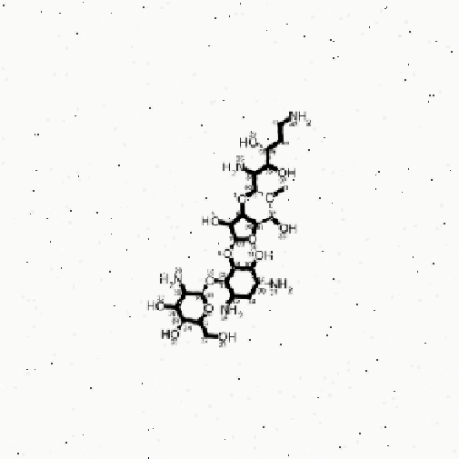 CO[C@H](OC1C(O)[C@H](OC2C(O)[C@H](N)CC(N)[C@H]2O[C@H]2OC(CO)[C@@H](O)C(O)C2N)O[C@@H]1CO)C(N)C(O)[C@H](O)CCN